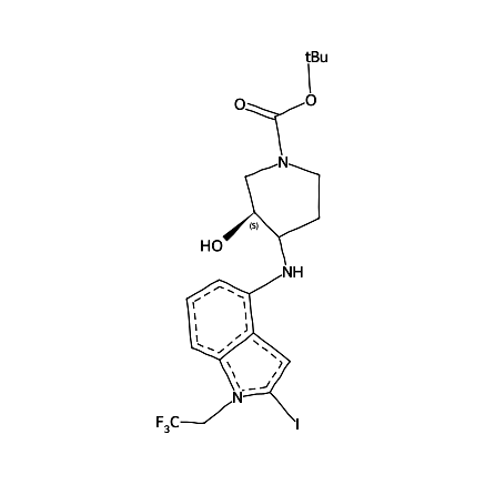 CC(C)(C)OC(=O)N1CCC(Nc2cccc3c2cc(I)n3CC(F)(F)F)[C@@H](O)C1